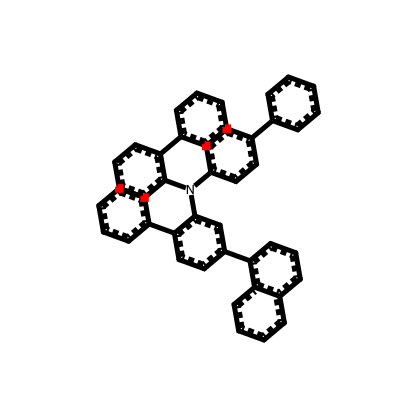 c1ccc(-c2ccc(N(c3ccccc3-c3ccccc3)c3cc(-c4cccc5ccccc45)ccc3-c3ccccc3)cc2)cc1